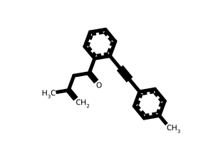 C=C(C)CC(=O)c1ccccc1C#Cc1ccc(C)cc1